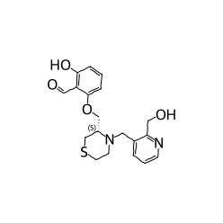 O=Cc1c(O)cccc1OC[C@H]1CSCCN1Cc1cccnc1CO